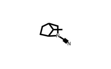 CC1C2CCC1N(C#N)C2